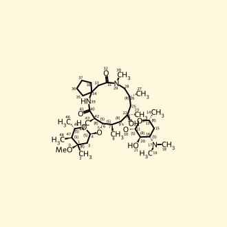 CO[C@]1(C)C[C@H](O[C@H]2[C@H](C)[C@@H](O[C@@H]3O[C@H](C)C[C@H](N(C)C)[C@H]3O)[C@](C)(O)C[C@@H](C)CN(C)C(=O)CC3(CCCC3)NC(=O)[C@@H]2C)O[C@@H](C)[C@@H]1C